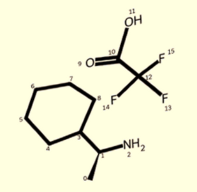 C[C@H](N)C1CCCCC1.O=C(O)C(F)(F)F